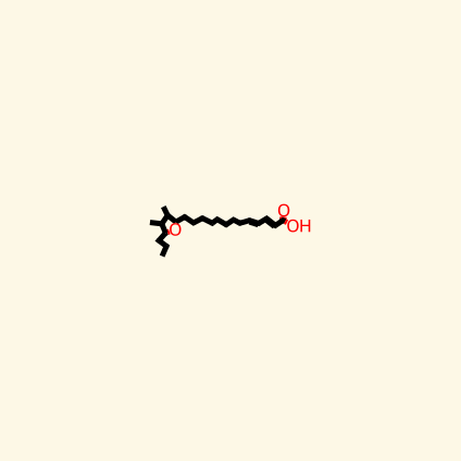 CCCC1OC(CCCCCCCCC=CC=CC(=O)O)C(C)C1C